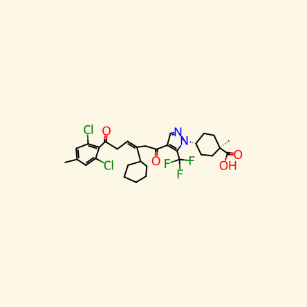 Cc1cc(Cl)c(C(=O)C/C=C(/CC(=O)c2cnn([C@H]3CC[C@](C)(C(=O)O)CC3)c2C(F)(F)F)C2CCCCC2)c(Cl)c1